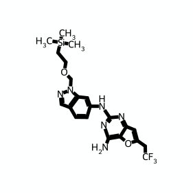 C[Si](C)(C)CCOCn1ncc2ccc(Nc3nc(N)c4oc(CC(F)(F)F)cc4n3)cc21